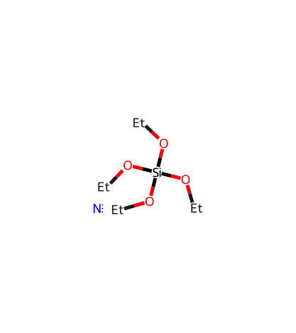 CCO[Si](OCC)(OCC)OCC.[N]